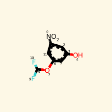 O=[N+]([O-])c1cc(O)cc(OC(F)F)c1